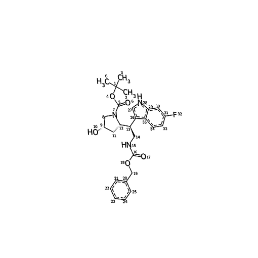 CC(C)(C)OC(=O)N1C[C@@H](O)C[C@H]1[C@H](CNC(=O)OCc1ccccc1)c1c[nH]c2cc(F)ccc12